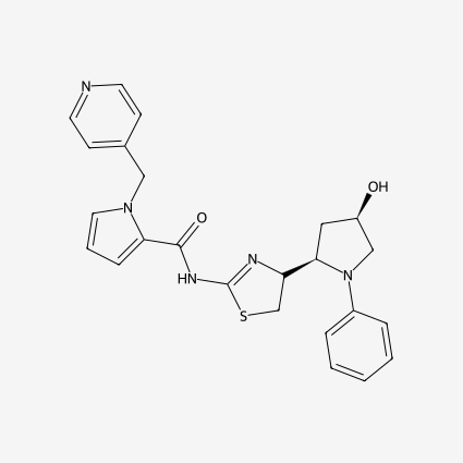 O=C(NC1=NC([C@H]2C[C@@H](O)CN2c2ccccc2)CS1)c1cccn1Cc1ccncc1